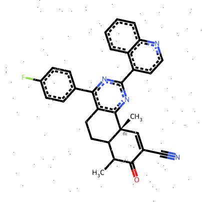 CC1C(=O)C(C#N)=C[C@@]2(C)c3nc(-c4ccnc5ccccc45)nc(-c4ccc(F)cc4)c3CCC12